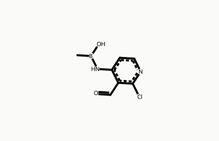 CB(O)Nc1ccnc(Cl)c1C=O